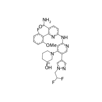 COc1cccc(F)c1-c1nc(Nc2cc(N3CCC[C@H](O)C3)c(-c3cnn(CC(F)F)c3)cn2)ccc1C(N)=O